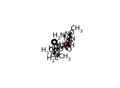 CCOc1nc(N)nc2c1ncn2[C@@H]1O[C@@]2(CO[P@](=S)(N[C@H](C)C(=O)OC(C)C)Oc3ccccc3)CO[C@@H]1[C@@H]2O